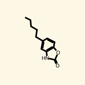 CCCCCc1ccc2oc(=O)[nH]c2c1